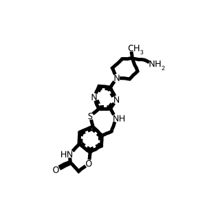 CC1(CN)CCN(c2cnc3c(n2)NCc2cc4c(cc2S3)NC(=O)CO4)CC1